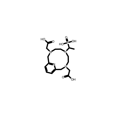 CC(N1CCN(CC(=O)O)Cc2cccc(n2)CN(CC(=O)O)CC1)P(=O)(O)O